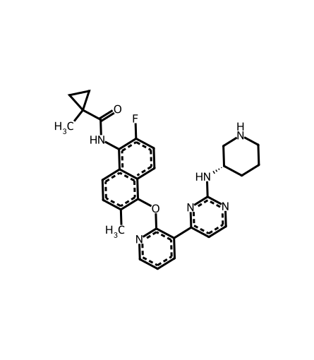 Cc1ccc2c(NC(=O)C3(C)CC3)c(F)ccc2c1Oc1ncccc1-c1ccnc(N[C@H]2CCCNC2)n1